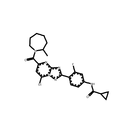 CCc1cc(C(=O)N2CCCCCC2C)nc2nc(-c3ccc(NC(=O)C4CC4)cc3F)nn12